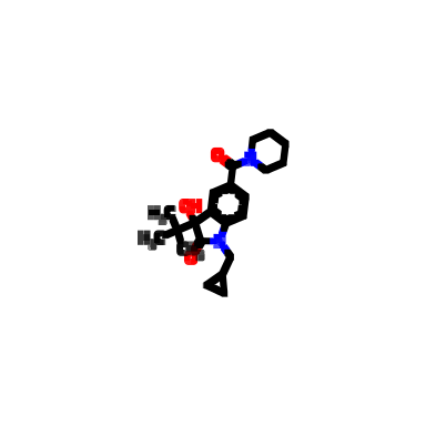 CC(C)(C)C1(O)C(=O)N(CC2CC2)c2ccc(C(=O)N3CCCCC3)cc21